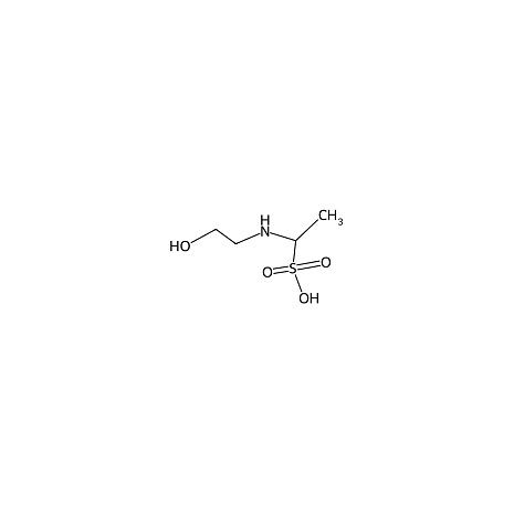 CC(NCCO)S(=O)(=O)O